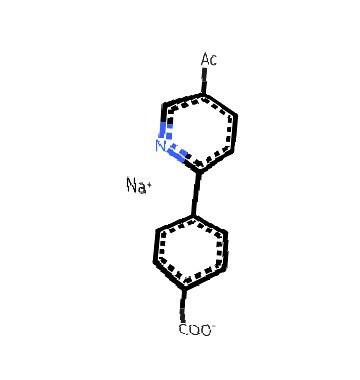 CC(=O)c1ccc(-c2ccc(C(=O)[O-])cc2)nc1.[Na+]